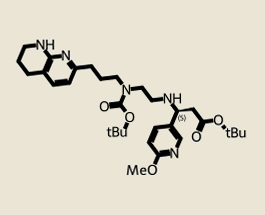 COc1ccc([C@H](CC(=O)OC(C)(C)C)NCCN(CCCc2ccc3c(n2)NCCC3)C(=O)OC(C)(C)C)cn1